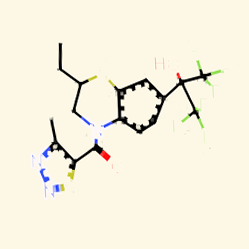 CCC1CN(C(=O)c2snnc2C)c2ccc(C(O)(C(F)(F)F)C(F)(F)F)cc2S1